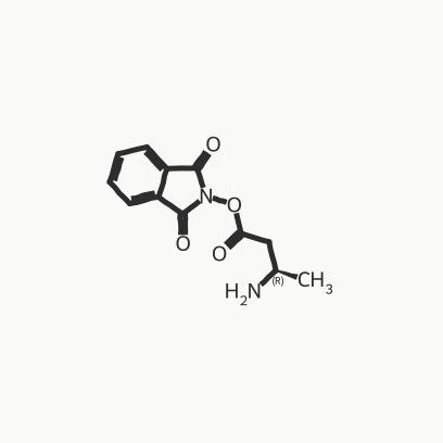 C[C@@H](N)CC(=O)ON1C(=O)c2ccccc2C1=O